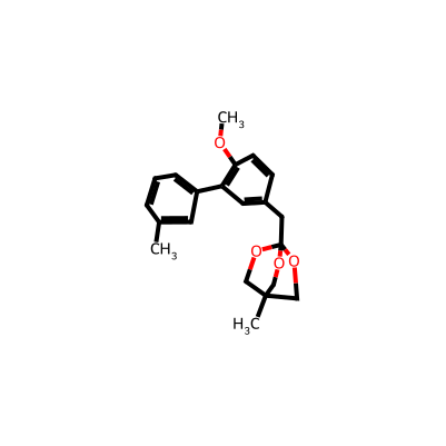 COc1ccc(CC23OCC(C)(CO2)CO3)cc1-c1cccc(C)c1